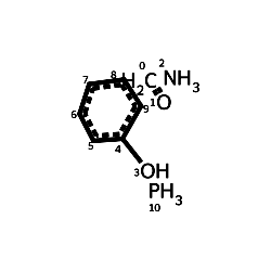 C=O.N.Oc1ccccc1.P